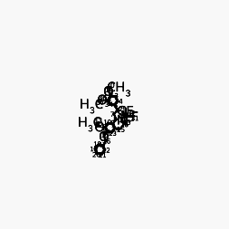 COc1ccc(CCC2c3cc(OC)c(OCc4ccccc4)cc3CCN2C(=O)C(F)(F)F)cc1OC